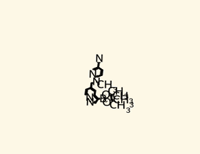 CN(Cc1ccn2ncc(B3OC(C)(C)C(C)(C)O3)c2c1)c1ccc(C#N)cn1